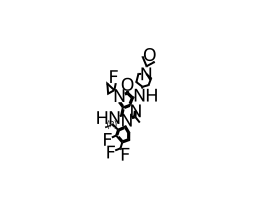 Cc1nc(N[C@H](C)c2cccc(C(F)F)c2F)c2cn(C3(CF)CC3)c(=O)c(NC3CCN(C4COC4)CC3)c2n1